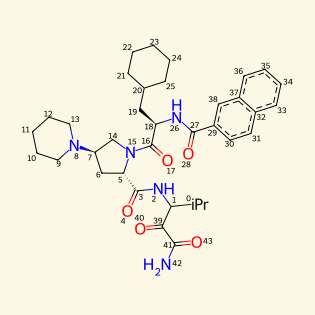 CC(C)C(NC(=O)[C@@H]1C[C@@H](N2CCCCC2)CN1C(=O)[C@@H](CC1CCCCC1)NC(=O)c1ccc2ccccc2c1)C(=O)C(N)=O